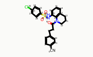 N#Cc1ccc(CCC(=O)N2CCCc3cccc(NS(=O)(=O)c4ccc(Cl)cc4)c32)cc1